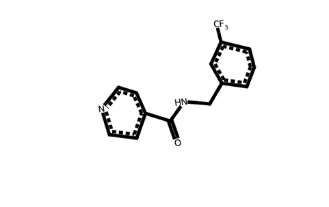 O=C(NCc1cccc(C(F)(F)F)c1)c1ccncc1